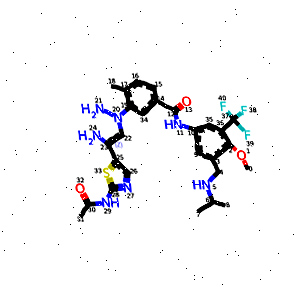 COc1c(CNC(C)C)cc(NC(=O)c2ccc(C)c(N(N)/C=C(\N)c3cnc(NC(C)=O)s3)c2)cc1C(F)(F)F